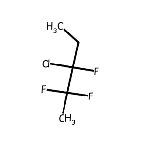 CCC(F)(Cl)C(C)(F)F